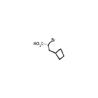 O=C(O)[C@H](Br)CC1CCC1